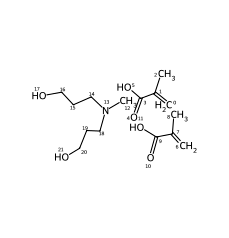 C=C(C)C(=O)O.C=C(C)C(=O)O.CN(CCCO)CCCO